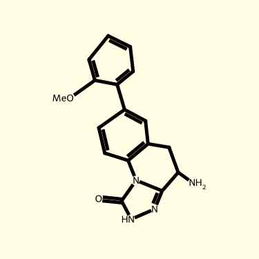 COc1ccccc1-c1ccc2c(c1)CC(N)c1n[nH]c(=O)n1-2